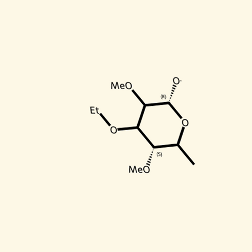 CCOC1C(OC)[C@H]([O])OC(C)[C@@H]1OC